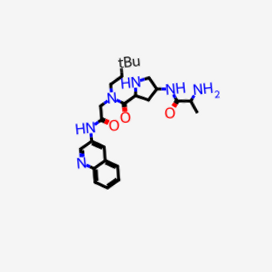 CC(N)C(=O)NC1CNC(C(=O)N(CCC(C)(C)C)CC(=O)Nc2cnc3ccccc3c2)C1